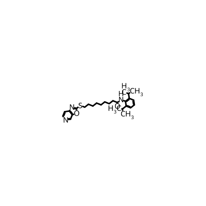 CC(C)c1cccc(C(C)C)c1NC(=O)CCCCCCCCSc1nc2ccncc2o1